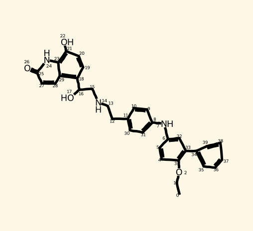 CCOc1ccc(Nc2ccc(CCNCC(O)c3ccc(O)c4[nH]c(=O)ccc34)cc2)cc1-c1ccccc1